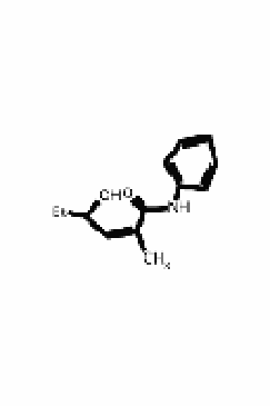 CCC(O)/C=C(/C)C(=O)Nc1ccccc1